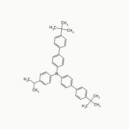 CC(C)c1ccc(N(c2ccc(-c3ccc(C(C)(C)C)cc3)cc2)c2ccc(-c3ccc(C(C)(C)C)cc3)cc2)cc1